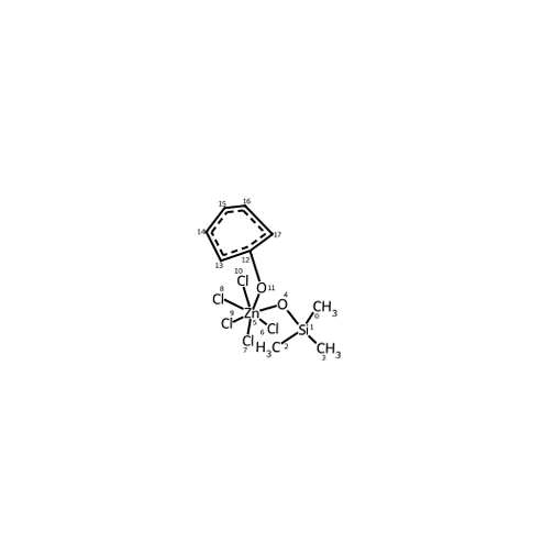 C[Si](C)(C)[O][Zn]([Cl])([Cl])([Cl])([Cl])([Cl])[O]c1ccccc1